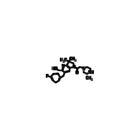 C[C@@H]1CN(CC(=O)N2CC(C)(C)c3nc(CO)c(CC4=CCC=C(F)C=C4)cc32)CCN1